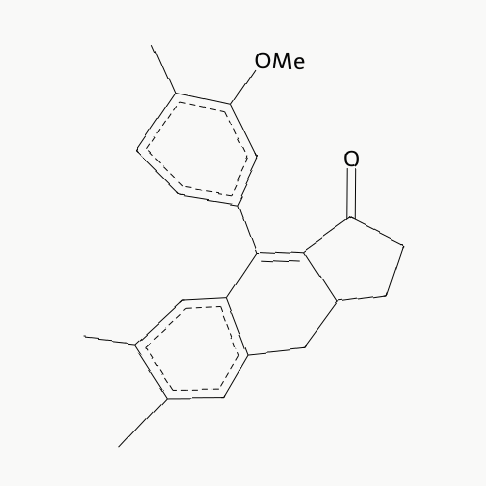 COc1cc(C2=C3C(=O)CCC3Cc3cc(C)c(C)cc32)ccc1C